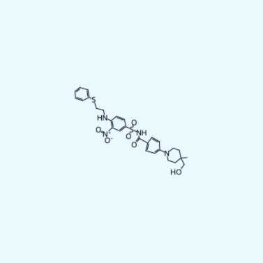 CC1(CO)CCN(c2ccc(C(=O)NS(=O)(=O)c3ccc(NCCSc4ccccc4)c([N+](=O)[O-])c3)cc2)CC1